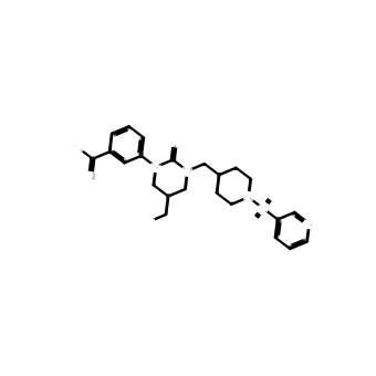 N=C(N)c1cccc(N2CC(CO)CN(CC3CCN(S(=O)(=O)c4cccnc4)CC3)C2=O)c1